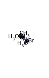 Cc1cc(C)n2nc(/C=C/c3nc(Br)cn3C)nc2n1